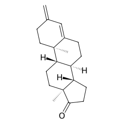 C=C1C=C2CC[C@@H]3[C@H](CC[C@]4(C)C(=O)CC[C@@H]34)[C@@]2(C)CC1